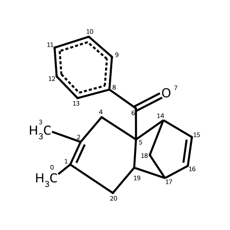 CC1=C(C)CC2(C(=O)c3ccccc3)C3C=CC(C3)C2C1